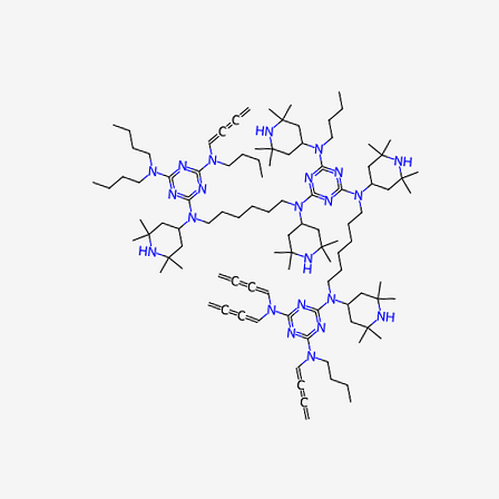 C=C=C=CN(C=C=C=C)c1nc(N(C=C=C=C)CCCC)nc(N(CCCCCCN(c2nc(N(CCCC)C3CC(C)(C)NC(C)(C)C3)nc(N(CCCCCCN(c3nc(N(C=C=C=C)CCCC)nc(N(CCCC)CCCC)n3)C3CC(C)(C)NC(C)(C)C3)C3CC(C)(C)NC(C)(C)C3)n2)C2CC(C)(C)NC(C)(C)C2)C2CC(C)(C)NC(C)(C)C2)n1